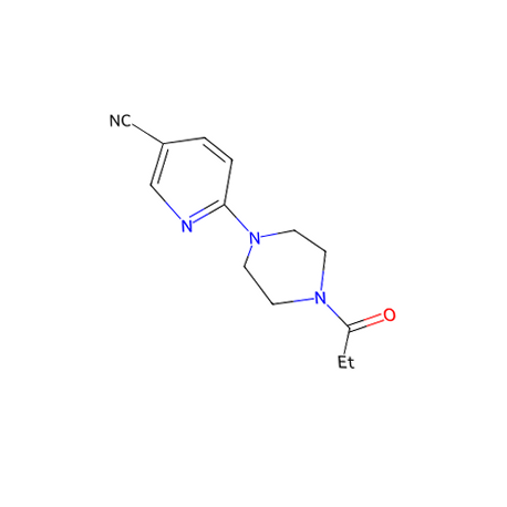 CCC(=O)N1CCN(c2ccc(C#N)cn2)CC1